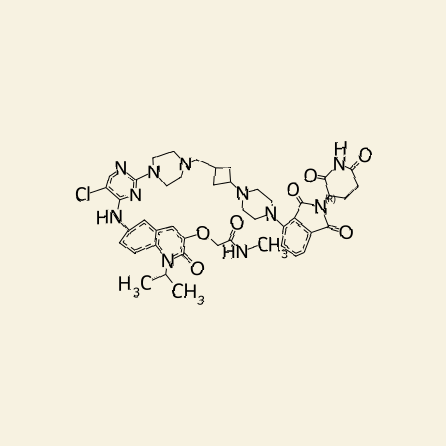 CNC(=O)COc1cc2cc(Nc3nc(N4CCN(CC5CC(N6CCN(c7cccc8c7C(=O)N([C@@H]7CCC(=O)NC7=O)C8=O)CC6)C5)CC4)ncc3Cl)ccc2n(C(C)C)c1=O